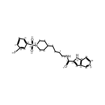 O=C(NCCCCC1CCN(S(=O)(=O)c2cccc(F)c2)CC1)c1cc2cnccc2[nH]1